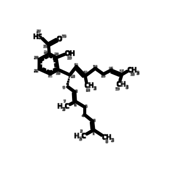 CC(C)=CCC/C(C)=C/C[C@@H](/C=C(\C)CCC=C(C)C)c1cccc(C(=O)S)c1O